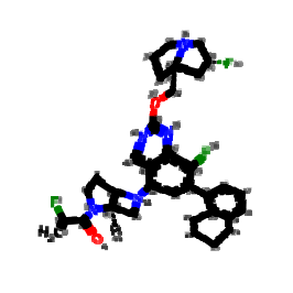 C=C(F)C(=O)N1CCC2[C@H]1CN2c1cc(-c2cccc3c2CCCC3)c(F)c2nc(OC[C@@]34CCCN3C[C@H](F)C4)ncc12